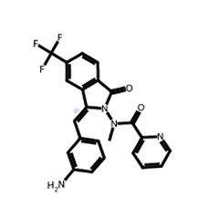 CN(C(=O)c1ccccn1)N1C(=O)c2ccc(C(F)(F)F)cc2/C1=C/c1cccc(N)c1